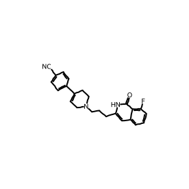 N#Cc1ccc(C2=CCN(CCCc3cc4cccc(F)c4c(=O)[nH]3)CC2)cc1